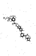 Cc1ccc(C(=O)NCc2cc3nc(-c4cccc(N5CC[C@]6(CCO6)C5)n4)ccc3cn2)cc1S(C)(=O)=O